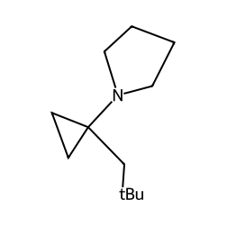 CC(C)(C)CC1(N2CCCC2)CC1